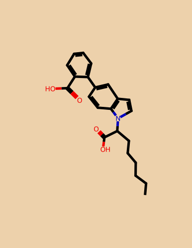 CCCCCCC(C(=O)O)n1ccc2cc(-c3ccccc3C(=O)O)ccc21